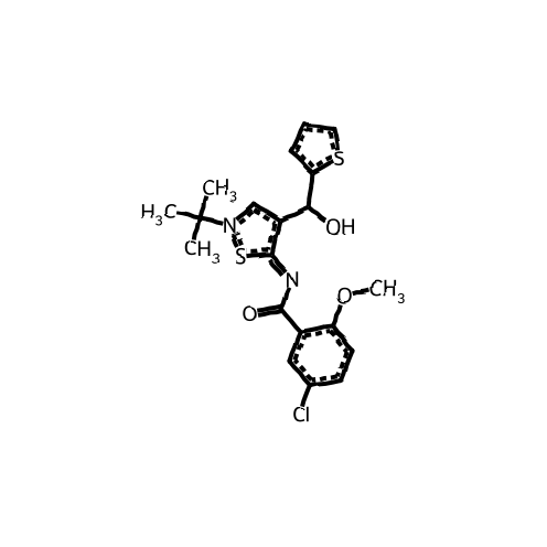 COc1ccc(Cl)cc1C(=O)/N=c1\sn(C(C)(C)C)cc1C(O)c1cccs1